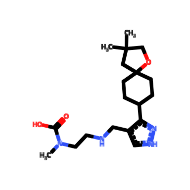 CN(CCNCc1c[nH]nc1C1CCC2(CC1)CC(C)(C)CO2)C(=O)O